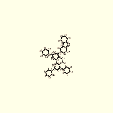 c1ccc(-c2cc(-c3ccccc3)c3c(n2)-c2nc(-c4ccccc4)nc(-c4ccc5oc6ccccc6c5c4)c2CC3)cc1